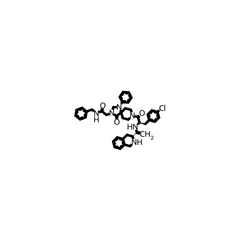 C=C(N[C@H](Cc1ccc(Cl)cc1)C(=O)N1CCC2(CC1)C(=O)N(CC(=O)NCc1ccccc1)CN2c1ccccc1)[C@H]1Cc2ccccc2CN1